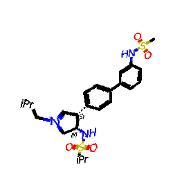 CC(C)CN1C[C@H](NS(=O)(=O)C(C)C)[C@@H](c2ccc(-c3cccc(NS(C)(=O)=O)c3)cc2)C1